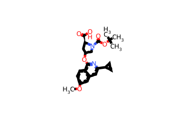 COc1ccc2c(OC3C[C@@H](C(=O)O)N(C(=O)OC(C)(C)C)C3)nc(C3CC3)cc2c1